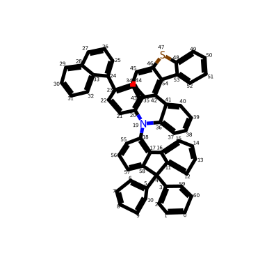 c1ccc(C2(c3ccccc3)c3ccccc3-c3c(N(c4ccc(-c5cccc6ccccc56)cc4)c4ccccc4-c4cccc5sc6ccccc6c45)cccc32)cc1